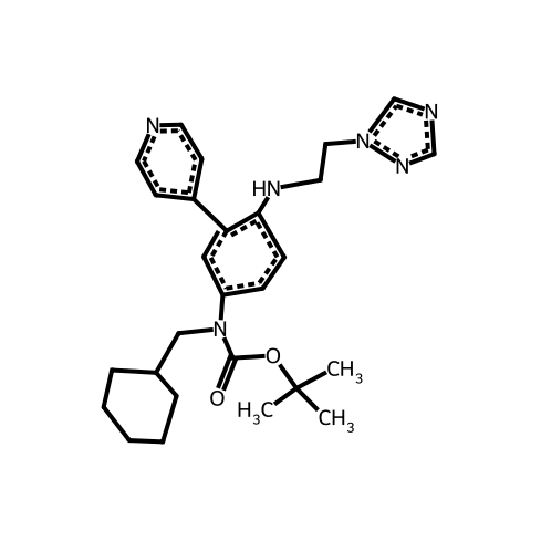 CC(C)(C)OC(=O)N(CC1CCCCC1)c1ccc(NCCn2cncn2)c(-c2ccncc2)c1